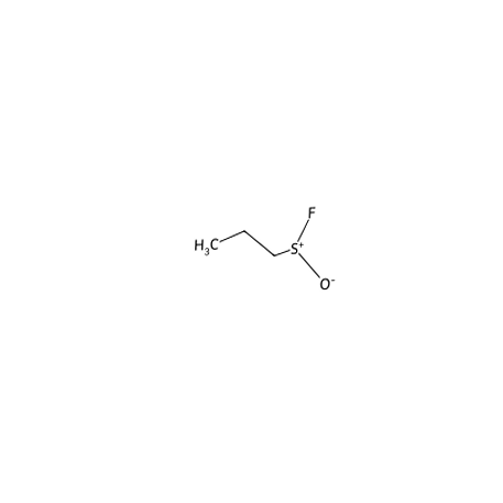 CCC[S+]([O-])F